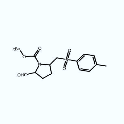 Cc1ccc(S(=O)(=O)CC2CCC(C=O)N2C(=O)OC(C)(C)C)cc1